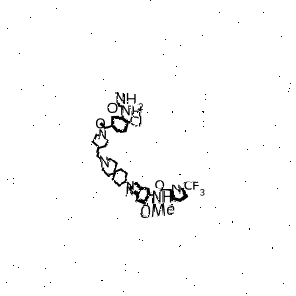 COc1cc2nn(C3CCC4(CC3)CCN(CC3CCN(C(=O)c5ccc(Cl)c(NC(N)=O)c5)CC3)CC4)cc2cc1NC(=O)c1cccc(C(F)(F)F)n1